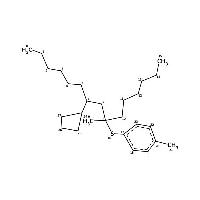 CCCCCCC(CC(C)(CCCCCC)Sc1ccc(C)cc1)C1CCC1